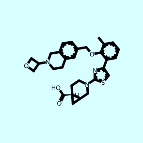 Cc1cccc(-c2csc(N3CC[C@@]4(C(=O)O)C[C@H]4C3)n2)c1OCc1ccc2c(c1)CCN(C1COC1)C2